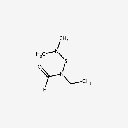 CCN(SN(C)C)C(=O)F